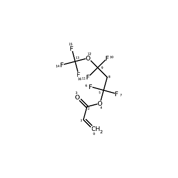 C=CC(=O)OC(F)(F)CC(F)(F)OC(F)(F)F